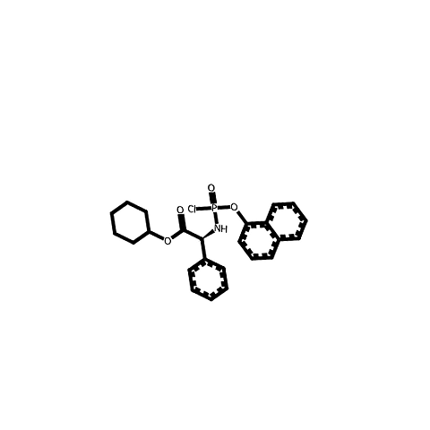 O=C(OC1CCCCC1)[C@@H](NP(=O)(Cl)Oc1cccc2ccccc12)c1ccccc1